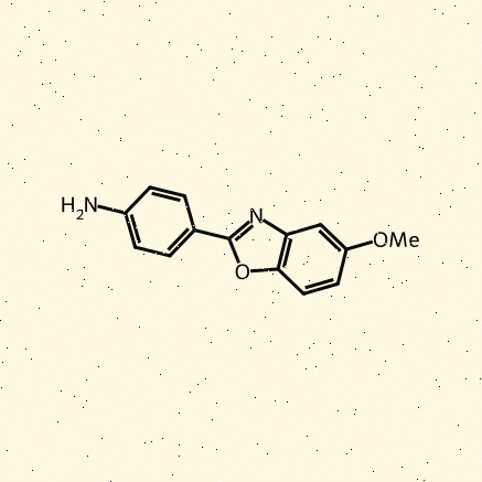 COc1ccc2oc(-c3ccc(N)cc3)nc2c1